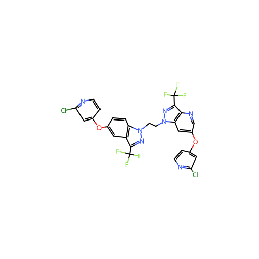 FC(F)(F)c1nn(CCn2nc(C(F)(F)F)c3ncc(Oc4ccnc(Cl)c4)cc32)c2ccc(Oc3ccnc(Cl)c3)cc12